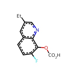 CCc1cnc2c(OC(=O)O)c(F)ccc2c1